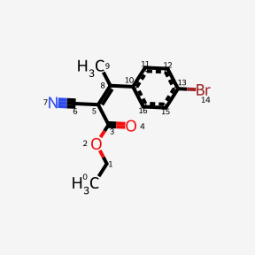 CCOC(=O)C(C#N)=C(C)c1ccc(Br)cc1